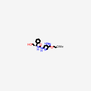 COCCOc1n[nH]c2cc(NC(=O)N[C@H](CCO)c3ccccc3)ncc12